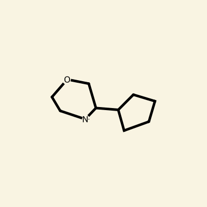 C1CCC(C2COCC[N]2)C1